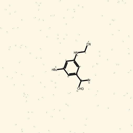 CCCCc1cc(NCC#N)cc(C(Br)C=O)c1